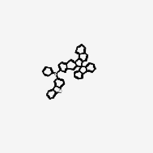 c1ccc(N(c2ccc3cc4c(cc3c2)C2(c3ccccc3-c3ccccc32)c2ccc3ccccc3c2-4)c2ccc3oc4ccccc4c3c2)cc1